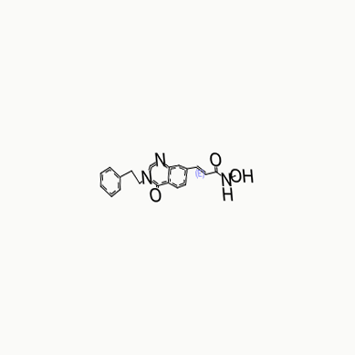 O=C(/C=C/c1ccc2c(=O)n(CCc3ccccc3)cnc2c1)NO